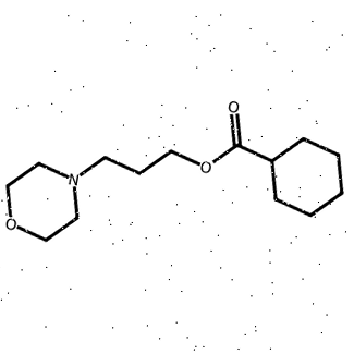 O=C(OCCCN1CCOCC1)C1CCCCC1